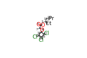 CCC(COC(=O)C(C)Oc1cc(Cl)c(Cl)cc1Cl)CC(C)C